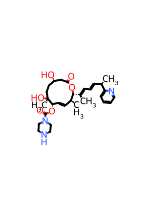 C/C(=C\C=C\[C@@H](C)c1ccccn1)[C@H]1OC(=O)C[C@H](O)CC[C@@](C)(O)[C@@H](OC(=O)N2CCNCC2)/C=C/[C@@H]1C